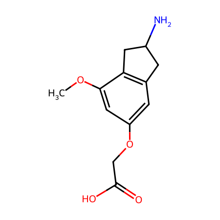 COc1cc(OCC(=O)O)cc2c1CC(N)C2